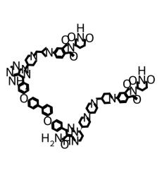 NC(=O)c1c(-c2ccc(Oc3cccc(-c4ccc(Oc5ccc(-c6nn(C7CCN(CC8CN(c9ccc%10c(c9)C(=O)N(C9CCC(=O)NC9=O)C%10=O)C8)CC7)c7ncnc(N)c67)cc5)cc4)c3)cc2)nn2c1NCC[C@H]2C1CCN(C2CCN(CC3CCN(c4ccc5c(c4)C(=O)N(C4CCC(=O)NC4=O)C5=O)CC3)CC2)CC1